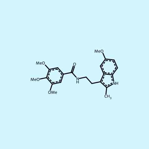 COc1ccc2[nH]c(C)c(CCNC(=O)c3cc(OC)c(OC)c(OC)c3)c2c1